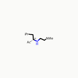 CNCCN[C@@H](CC(C)C)C(C)=O